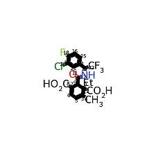 CCC1(C(=O)O)C(C)=CC=C(C(=O)O)C1C(=O)NC(c1ccc(F)c(Cl)c1)C(F)(F)F